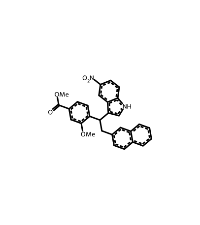 COC(=O)c1ccc(C(Cc2ccc3ccccc3c2)c2c[nH]c3ccc([N+](=O)[O-])cc23)c(OC)c1